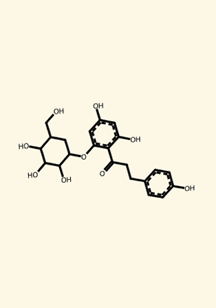 O=C(CCc1ccc(O)cc1)c1c(O)cc(O)cc1OC1CC(CO)C(O)C(O)C1O